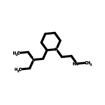 CCN(CC)CC1CCCCN1CCNC